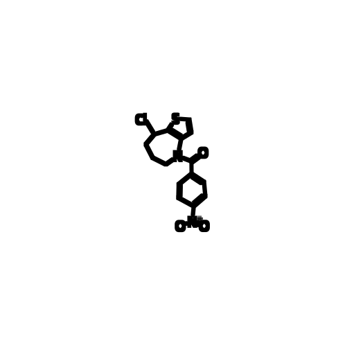 O=C(c1ccc([N+](=O)[O-])cc1)N1CCCC(Cl)c2sccc21